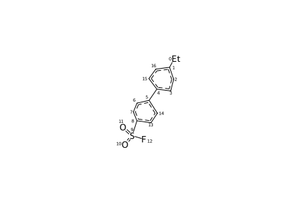 CCc1ccc(-c2ccc(S(=O)(=O)F)cc2)cc1